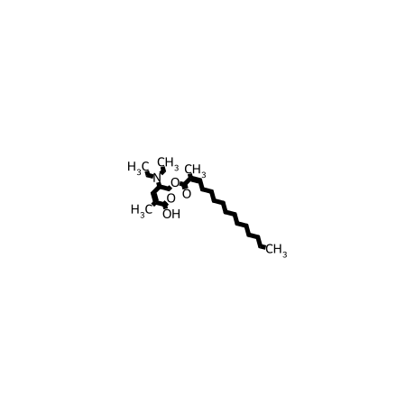 CCCCCCCCCCCCC=C(C)C(=O)OCC(C=C(C)C(=O)O)N(CC)CC